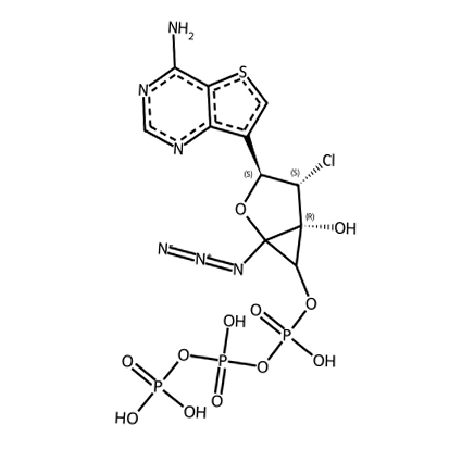 [N-]=[N+]=NC12O[C@@H](c3csc4c(N)ncnc34)[C@H](Cl)[C@@]1(O)C2OP(=O)(O)OP(=O)(O)OP(=O)(O)O